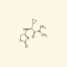 CN(C)C(=O)[C@@H](NC1=NC(=O)SC1)C1CC1